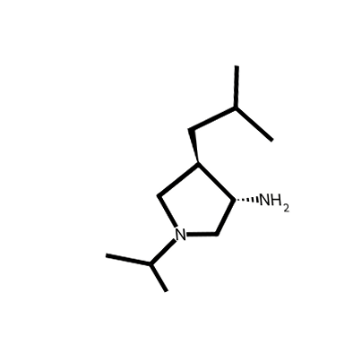 CC(C)C[C@@H]1CN(C(C)C)C[C@H]1N